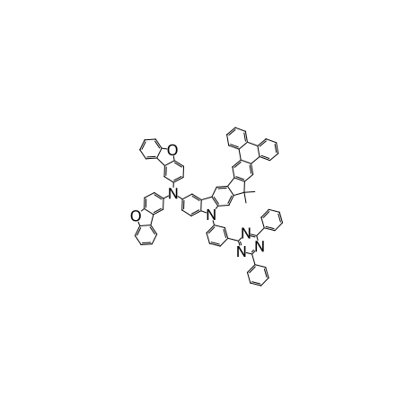 CC1(C)c2cc3c4ccccc4c4ccccc4c3cc2-c2cc3c4cc(N(c5ccc6oc7ccccc7c6c5)c5ccc6oc7ccccc7c6c5)ccc4n(-c4cccc(-c5nc(-c6ccccc6)nc(-c6ccccc6)n5)c4)c3cc21